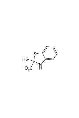 O=C(O)C1(S)Nc2ccccc2S1